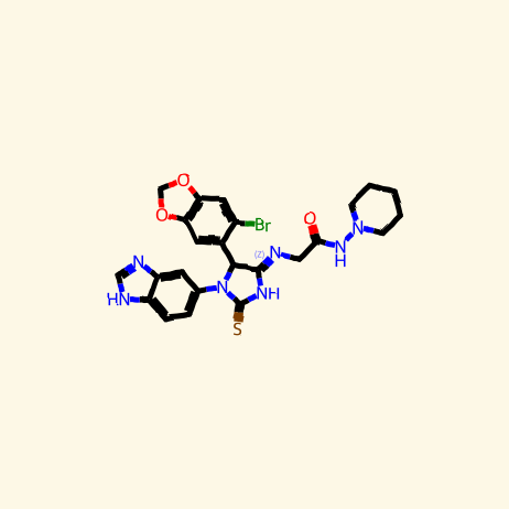 O=C(C/N=C1\NC(=S)N(c2ccc3[nH]cnc3c2)C1c1cc2c(cc1Br)OCO2)NN1CCCCC1